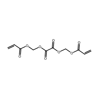 C=CC(=O)OCOC(=O)C(=O)OCOC(=O)C=C